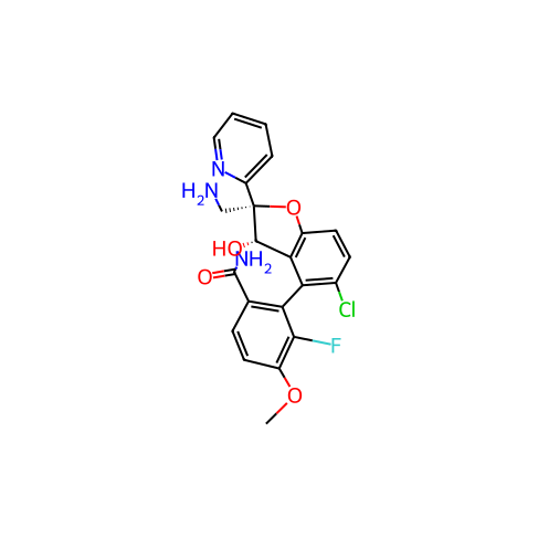 COc1ccc(C(N)=O)c(-c2c(Cl)ccc3c2[C@H](O)[C@@](CN)(c2ccccn2)O3)c1F